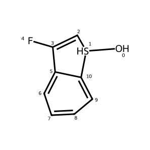 O[SH]1C=C(F)c2ccccc21